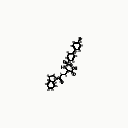 O=C(O)C(CCC(=O)N1CCc2ccccc21)NS(=O)(=O)c1ccc(-c2ccc(Br)cc2)cc1